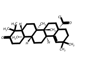 CC1(C)C=C2[C@H]3CC[C@@H]4[C@@]5(C)CCC(=O)C(C)(C)[C@@H]5CC[C@@]4(C)[C@]3(C)CC[C@@]2(C(=O)Cl)CC1